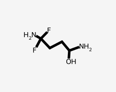 NC(O)CCC(N)(F)F